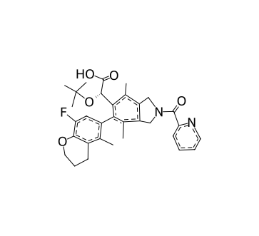 Cc1c(-c2c(C)c3c(c(C)c2[C@H](OC(C)(C)C)C(=O)O)CN(C(=O)c2ccccn2)C3)cc(F)c2c1CCCO2